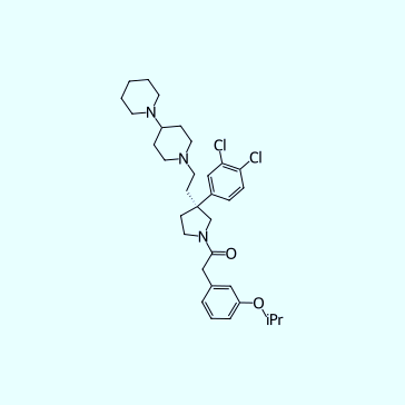 CC(C)Oc1cccc(CC(=O)N2CC[C@@](CCN3CCC(N4CCCCC4)CC3)(c3ccc(Cl)c(Cl)c3)C2)c1